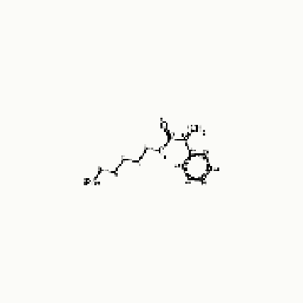 C=C(C(=O)OCCCCCC(C)C)c1ccccc1